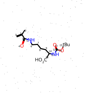 C=C(C)C(=O)NCCCCC(NC(=O)OC(C)(C)C)C(=O)O